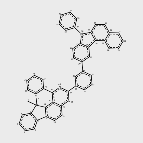 CC1(C)c2ccccc2-c2ccc3nc(-c4cccc(-c5ccc6c(c5)c5c7ccccc7ccc5n6-c5ccccc5)c4)nc(-c4ccccc4)c3c21